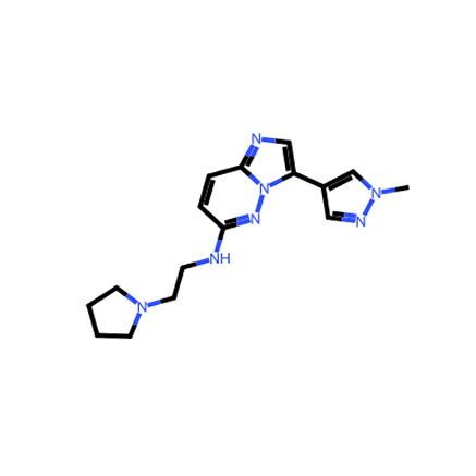 Cn1cc(-c2cnc3ccc(NCCN4CCCC4)nn23)cn1